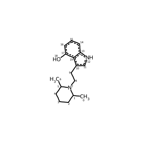 CC1CCCC(C)N1CCc1c[nH]c2cccc(O)c12